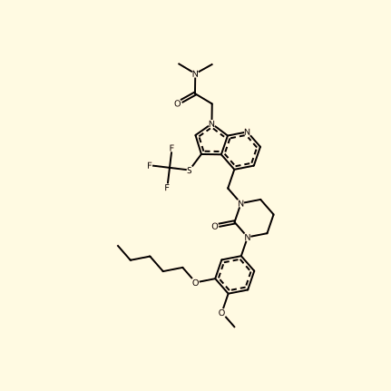 CCCCCOc1cc(N2CCCN(Cc3ccnc4c3c(SC(F)(F)F)cn4CC(=O)N(C)C)C2=O)ccc1OC